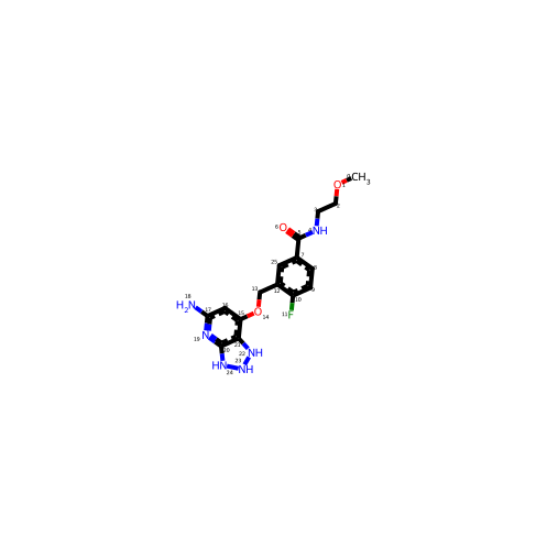 COCCNC(=O)c1ccc(F)c(COc2cc(N)nc3c2NNN3)c1